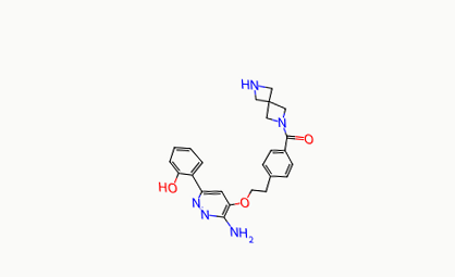 Nc1nnc(-c2ccccc2O)cc1OCCc1ccc(C(=O)N2CC3(CNC3)C2)cc1